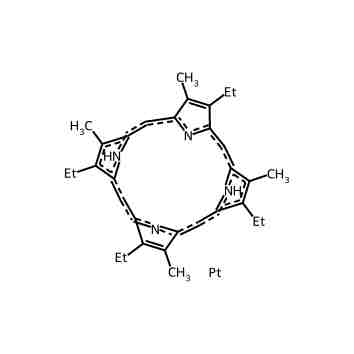 CCC1=C(C)c2cc3[nH]c(cc4nc(cc5[nH]c(cc1n2)c(C)c5CC)C(C)=C4CC)c(CC)c3C.[Pt]